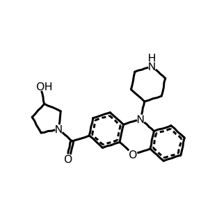 O=C(c1ccc2c(c1)Oc1ccccc1N2C1CCNCC1)N1CCC(O)C1